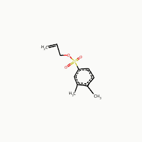 C=CCOS(=O)(=O)c1ccc(C)c(C)c1